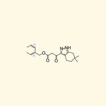 C/C=C\C(=C/C)COC(=O)CC(=O)c1n[nH]c2c1CCC(C)(C)C2